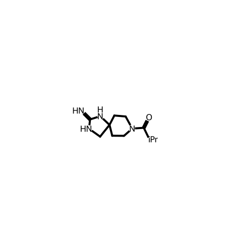 CC(C)C(=O)N1CCC2(CC1)CNC(=N)N2